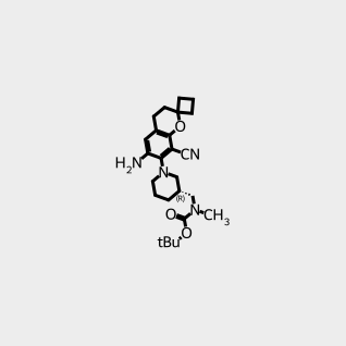 CN(C[C@@H]1CCCN(c2c(N)cc3c(c2C#N)OC2(CCC2)CC3)C1)C(=O)OC(C)(C)C